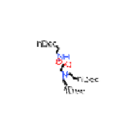 CCCCCCCCCCCCNOC(=O)CN(CCCCCCCCCCCC)CCCCCCCCCCCC